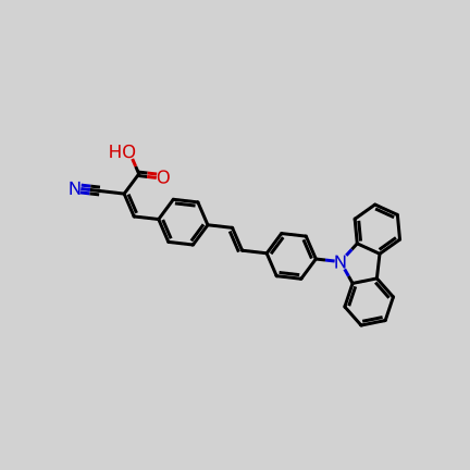 N#CC(=Cc1ccc(C=Cc2ccc(-n3c4ccccc4c4ccccc43)cc2)cc1)C(=O)O